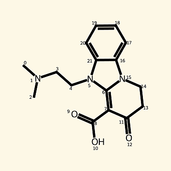 CN(C)CCN1C2=C(C(=O)O)C(=O)CCN2c2ccccc21